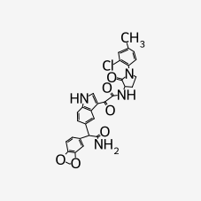 Cc1ccc(N2CCC(NC(=O)C(=O)c3c[nH]c4ccc(C(C(N)=O)c5ccc6c(c5)OCO6)cc34)C2=O)c(Cl)c1